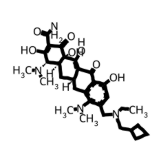 CCN(Cc1cc(O)c2c(c1N(C)C)C[C@H]1C[C@H]3[C@H](N(C)C)C(O)=C(C(N)=O)C(=O)[C@@]3(O)C(O)=C1C2=O)CC1CCC1